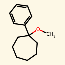 COC1(c2ccccc2)CCCCCC1